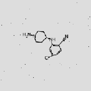 N#Cc1ccc(Cl)cc1NC1CCN(N)CC1